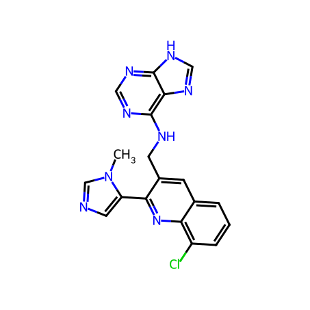 Cn1cncc1-c1nc2c(Cl)cccc2cc1CNc1ncnc2[nH]cnc12